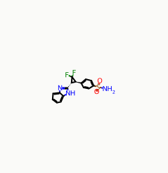 NS(=O)(=O)c1ccc([C@H]2[C@H](c3nc4ccccc4[nH]3)C2(F)F)cc1